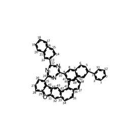 c1ccc(-c2ccc3cc(-c4nc(-c5ccc6ccccc6c5)nc(-c5cccc6oc7cc8ccc9ccccc9c8cc7c56)n4)ccc3c2)cc1